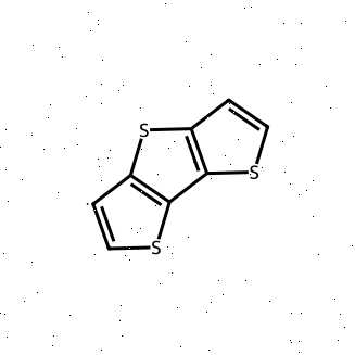 [c]1csc2c1sc1ccsc12